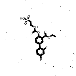 CCOC(=O)c1cc(-c2ccc(F)cc2F)ccc1OC(=O)NCCS(=O)(=O)O